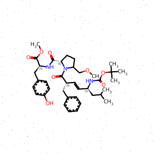 COCC1CC[C@@H](C(=O)N[C@@H](Cc2ccc(O)cc2)C(=O)OC)N1C(=O)[C@H](/C=C/[C@H](CC(C)C)NC(=O)OC(C)(C)C)Cc1ccccc1